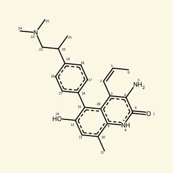 C/C=C\c1c(N)c(=O)[nH]c2c(C)cc(O)c(-c3ccc(C(C)CN(C)C)cc3)c12